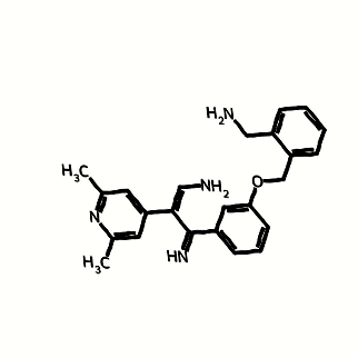 Cc1cc(/C(=C/N)C(=N)c2cccc(OCc3ccccc3CN)c2)cc(C)n1